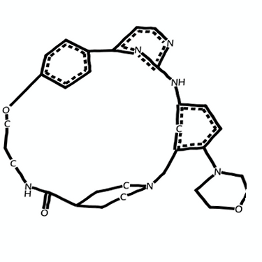 O=C1NCCCOc2ccc(cc2)-c2ccnc(n2)Nc2ccc(N3CCOCC3)c(c2)CN2CCC1CC2